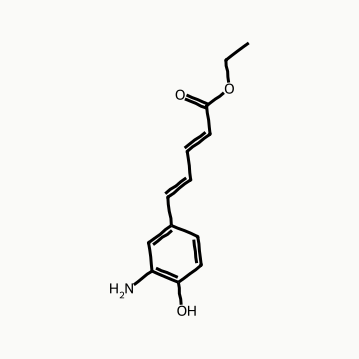 CCOC(=O)/C=C/C=C/c1ccc(O)c(N)c1